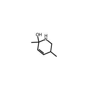 CC1C=CC(C)(O)NC1